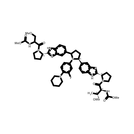 COCC(NC(=O)OC)C(=O)N1CCC[C@H]1c1nc2cc(C3CC[C@@H](c4ccc5[nH]c([C@@H]6CCCN6C(=O)[C@@H](NC(=O)OC)[C@@H](C)OC)nc5c4)N3c3ccc(N4CCCCC4)c(F)c3)ccc2[nH]1